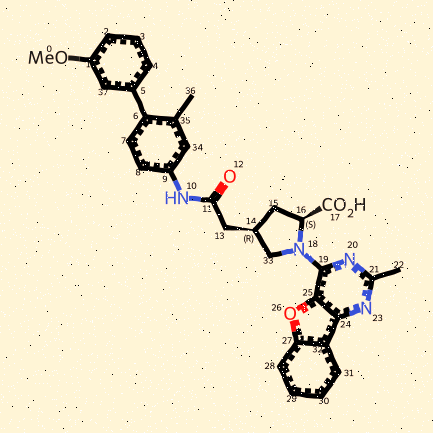 COc1cccc(-c2ccc(NC(=O)C[C@H]3C[C@@H](C(=O)O)N(c4nc(C)nc5c4oc4ccccc45)C3)cc2C)c1